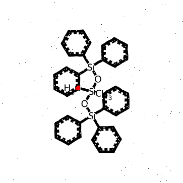 C[Si](C)(O[Si](c1ccccc1)(c1ccccc1)c1ccccc1)O[Si](c1ccccc1)(c1ccccc1)c1ccccc1